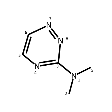 CN(C)c1nccnn1